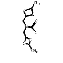 CC1OC(CN(CC2OC(C)O2)C(=O)Cl)O1